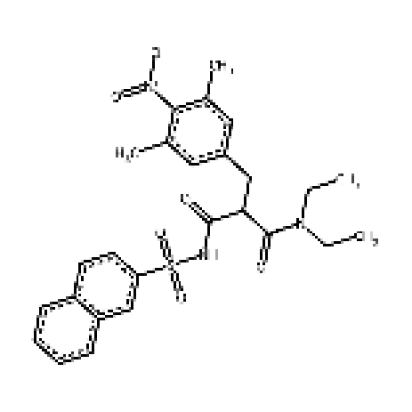 CCN(CC)C(=O)C(Cc1cc(C)c([N+](=O)[O-])c(C)c1)C(=O)NS(=O)(=O)c1ccc2ccccc2c1